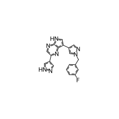 Fc1cccc(Cn2cc(-c3c[nH]c4ncc(-c5cn[nH]c5)nc34)cn2)c1